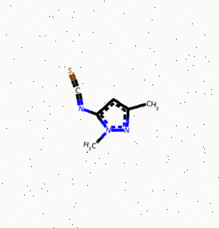 Cc1cc(N=C=S)n(C)n1